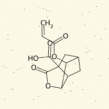 C=CC(=O)OC1C2CC3C1OC(=O)C3(C(=O)O)C2